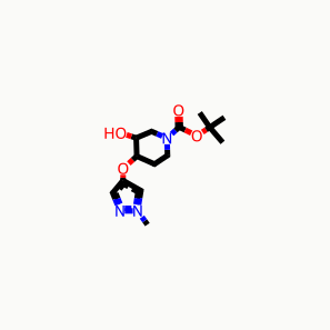 Cn1cc(OC2CCN(C(=O)OC(C)(C)C)CC2O)cn1